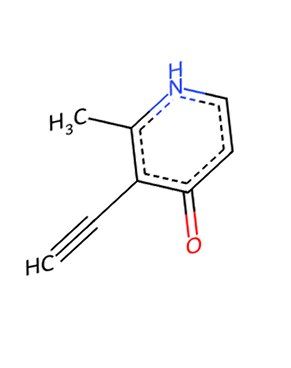 C#Cc1c(C)[nH]ccc1=O